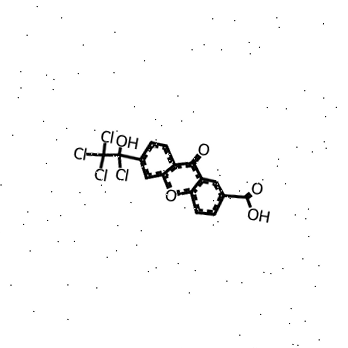 O=C(O)c1ccc2oc3cc(C(O)(Cl)C(Cl)(Cl)Cl)ccc3c(=O)c2c1